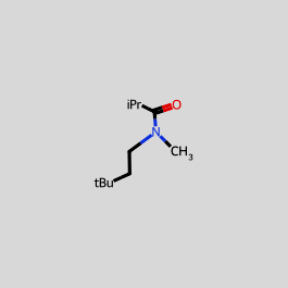 CC(C)C(=O)N(C)CCC(C)(C)C